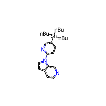 CCC[CH2][Sn]([CH2]CCC)([CH2]CCC)[c]1ccc(-n2ccc3ccncc32)nc1